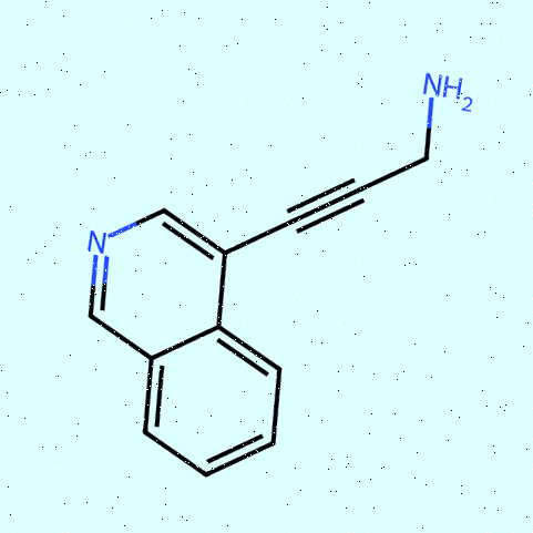 NCC#Cc1cncc2ccccc12